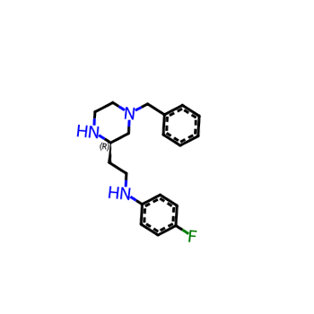 Fc1ccc(NCC[C@@H]2CN(Cc3ccccc3)CCN2)cc1